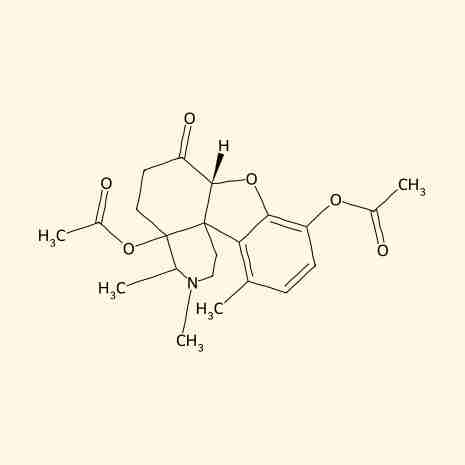 CC(=O)Oc1ccc(C)c2c1O[C@H]1C(=O)CCC3(OC(C)=O)C(C)N(C)CCC213